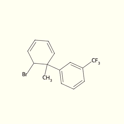 CC1(c2cccc(C(F)(F)F)c2)C=CC=CC1Br